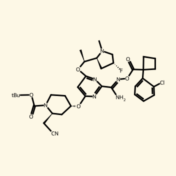 C[C@H](Oc1cc(O[C@H]2CCN(C(=O)OC(C)(C)C)[C@H](CC#N)C2)nc(C(N)=NOC(=O)C2(c3ccccc3Cl)CCC2)n1)[C@@H]1C[C@@H](F)CN1C